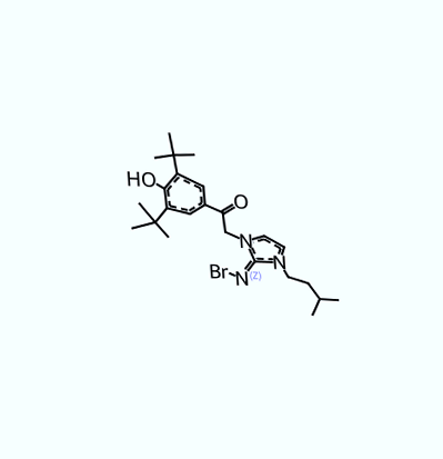 CC(C)CCn1ccn(CC(=O)c2cc(C(C)(C)C)c(O)c(C(C)(C)C)c2)/c1=N\Br